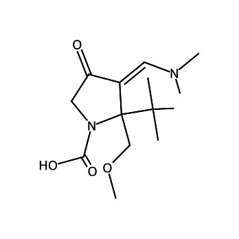 COCC1(C(C)(C)C)/C(=C\N(C)C)C(=O)CN1C(=O)O